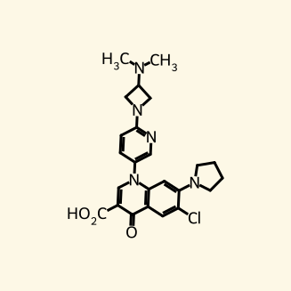 CN(C)C1CN(c2ccc(-n3cc(C(=O)O)c(=O)c4cc(Cl)c(N5CCCC5)cc43)cn2)C1